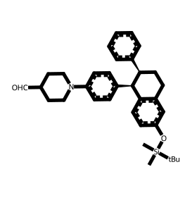 CC(C)(C)[Si](C)(C)Oc1ccc2c(c1)CC[C@H](c1ccccc1)[C@@H]2c1ccc(N2CCC(C=O)CC2)cc1